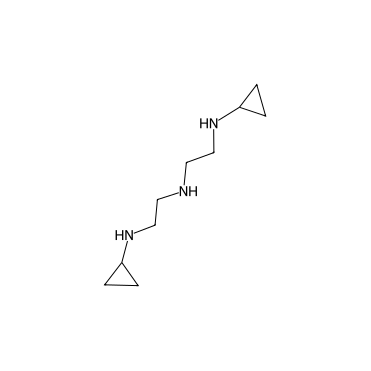 C(CNC1CC1)NCCNC1CC1